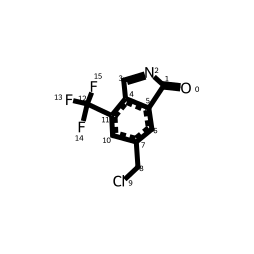 O=C1N=Cc2c1cc(CCl)cc2C(F)(F)F